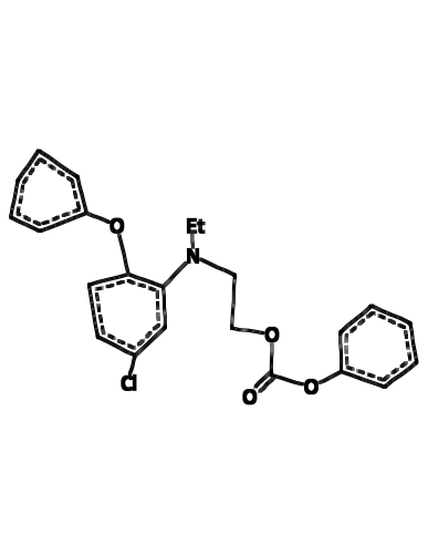 CCN(CCOC(=O)Oc1ccccc1)c1cc(Cl)ccc1Oc1ccccc1